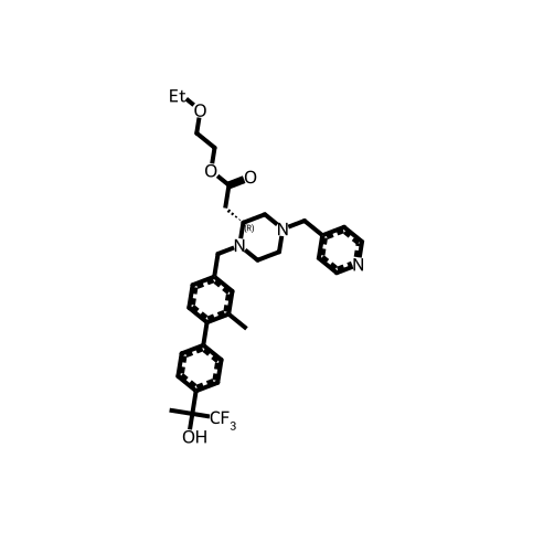 CCOCCOC(=O)C[C@@H]1CN(Cc2ccncc2)CCN1Cc1ccc(-c2ccc(C(C)(O)C(F)(F)F)cc2)c(C)c1